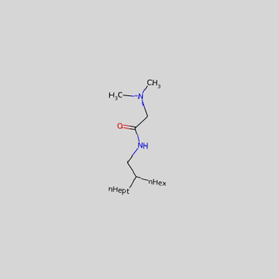 CCCCCCCC(CCCCCC)CNC(=O)CN(C)C